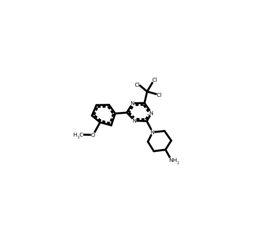 COc1cccc(-c2nc(N3CCC(N)CC3)nc(C(Cl)(Cl)Cl)n2)c1